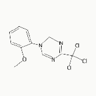 COc1ccccc1N1C=NC(C(Cl)(Cl)Cl)=NC1